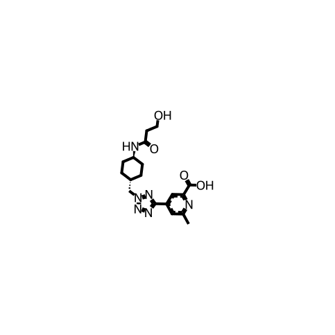 Cc1cc(-c2nnn(C[C@H]3CC[C@H](NC(=O)CCO)CC3)n2)cc(C(=O)O)n1